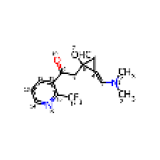 CN(C)C=C1CC1(C=O)CC(=O)c1cccnc1C(F)(F)F